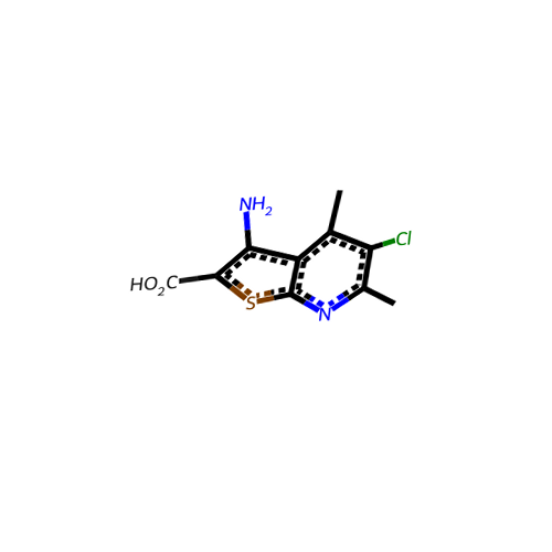 Cc1nc2sc(C(=O)O)c(N)c2c(C)c1Cl